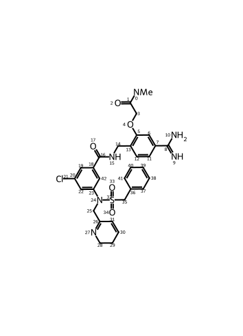 CNC(=O)COc1cc(C(=N)N)ccc1CNC(=O)c1cc(Cl)cc(N(CC2=NCCC=C2)S(=O)(=O)Cc2ccccc2)c1